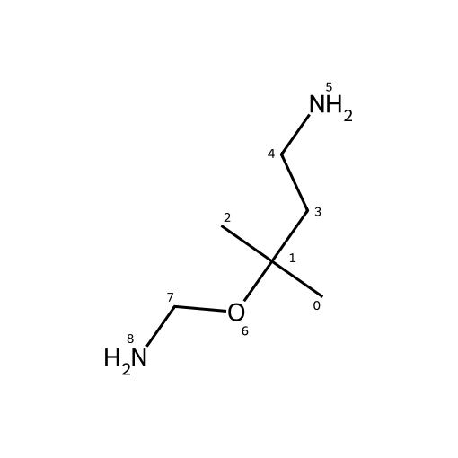 CC(C)(CCN)OCN